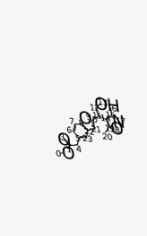 COC(=O)Cc1ccc2oc(C(CO)c3c(C)noc3C)cc2c1